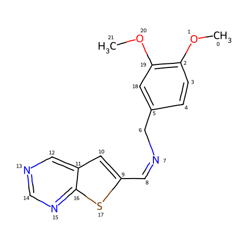 COc1ccc(C/N=C\c2cc3cncnc3s2)cc1OC